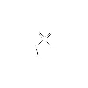 CC(C)NS(=O)(=O)O